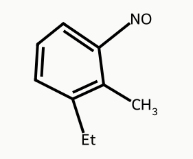 CCc1cccc(N=O)c1C